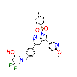 COc1ccc(-c2cn(S(=O)(=O)c3ccc(C)cc3)c3ncc(-c4ccc(CN5CC(O)CC(F)(F)C5)cc4)cc23)cn1